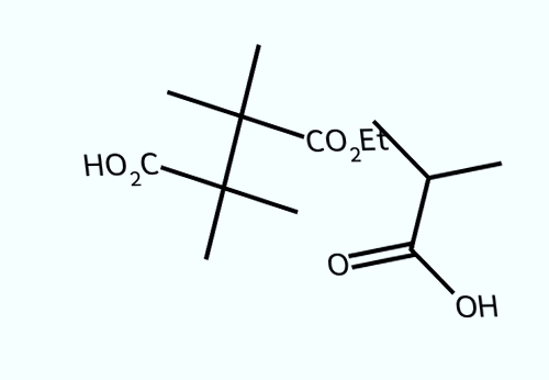 CC(C)C(=O)O.CCOC(=O)C(C)(C)C(C)(C)C(=O)O